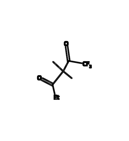 CCC(=O)C(C)(C)C(=O)C(F)(F)F